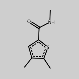 CNC(=O)c1cc(C)c(C)s1